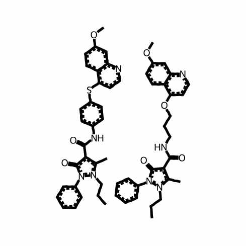 CCCn1c(C)c(C(=O)NCCCOc2ccnc3cc(OC)ccc23)c(=O)n1-c1ccccc1.CCCn1c(C)c(C(=O)Nc2ccc(Sc3ccnc4cc(OC)ccc34)cc2)c(=O)n1-c1ccccc1